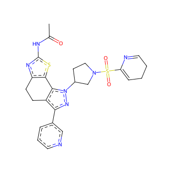 CC(=O)Nc1nc2c(s1)-c1c(c(-c3cccnc3)nn1C1CCN(S(=O)(=O)C3=CCCC=N3)C1)CC2